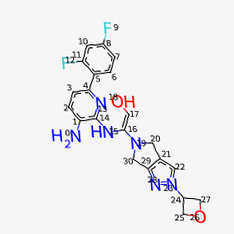 Nc1ccc(-c2ccc(F)cc2F)nc1N/C(=C\O)N1Cc2cn(C3COC3)nc2C1